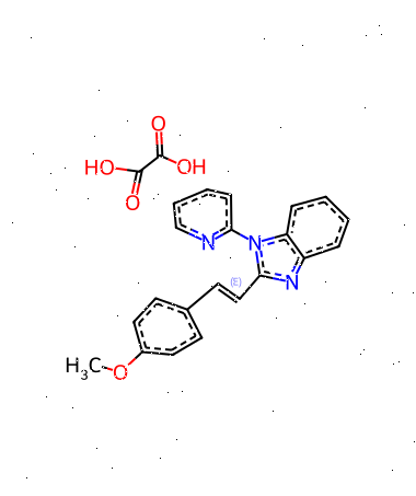 COc1ccc(/C=C/c2nc3ccccc3n2-c2ccccn2)cc1.O=C(O)C(=O)O